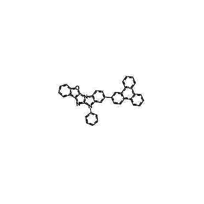 c1ccc(-n2c3cc(-c4ccc5c6ccccc6c6ccccc6c5c4)ccc3n3c4oc5ccccc5c4nc23)cc1